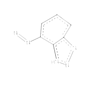 N=Nc1cccc2nn[nH]c12